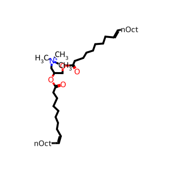 CCCCCCCCC=CCCCCCCCC(=O)OCC(C[N+](C)(C)C)OC(=O)CCCCCCC/C=C\CCCCCCCC